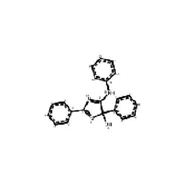 OC1(c2ccccc2)N=C(c2ccccc2)N=C1Nc1ccccc1